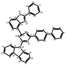 c1ccc(-c2ccc(-c3nc(-c4cccc5sc(-c6ccccc6)nc45)nc(-n4c5ccccc5c5ccccc54)n3)cc2)cc1